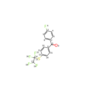 O=C(c1ccc(F)cc1)c1ccc(SC(F)(F)C(F)F)cc1